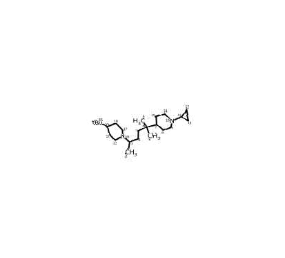 CC(CCC(C)(C)C1CCN(C2CC2)CC1)N1CCC(C(C)(C)C)CC1